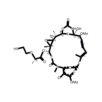 COc1cc2cc(c1Cl)N(C)C(=O)C[C@H](OC(=O)[C@H](C)OCCS)[C@]1(C)O[C@H]1[C@H](C)[C@@H]1C[C@@](O)(NC(=O)O1)[C@H](OC)/C=C/C=C(\C)C2